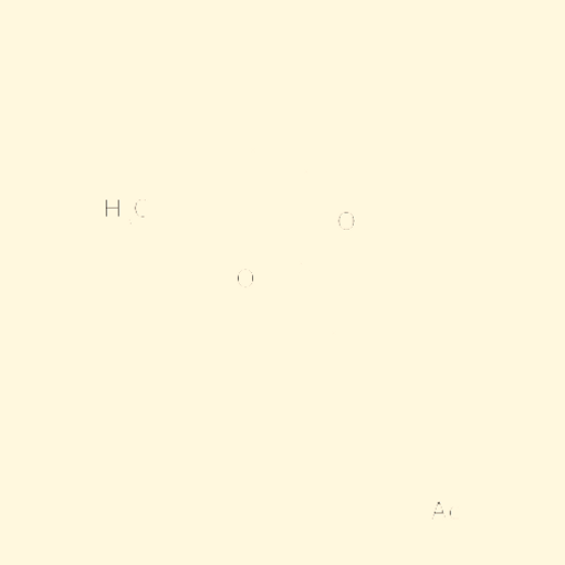 CC(=O)c1ccc(C(=O)OC(C)c2ccccc2)cc1